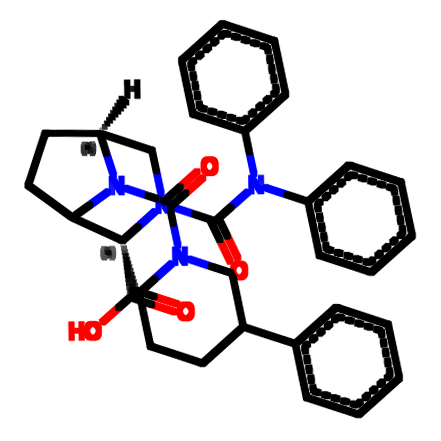 O=C(O)[C@@H]1C2CC[C@@H](CN1C(=O)N(c1ccccc1)c1ccccc1)N2C(=O)N1CCCC(c2ccccc2)C1